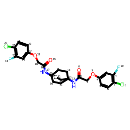 O=C(COc1ccc(Cl)c(F)c1)NC12CCC(NC(=O)COc3ccc(Cl)c(F)c3)(CC1)CC2